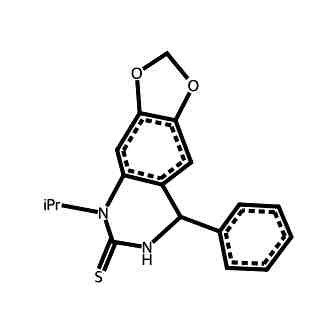 CC(C)N1C(=S)NC(c2ccccc2)c2cc3c(cc21)OCO3